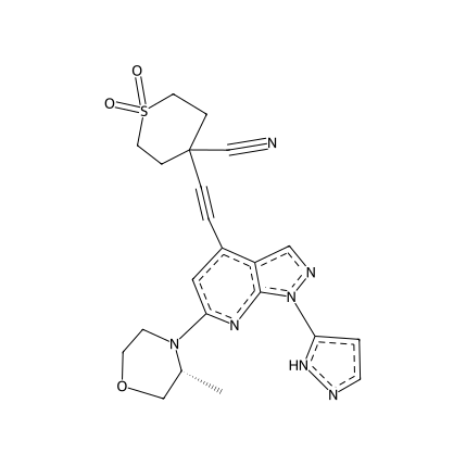 C[C@@H]1COCCN1c1cc(C#CC2(C#N)CCS(=O)(=O)CC2)c2cnn(-c3ccn[nH]3)c2n1